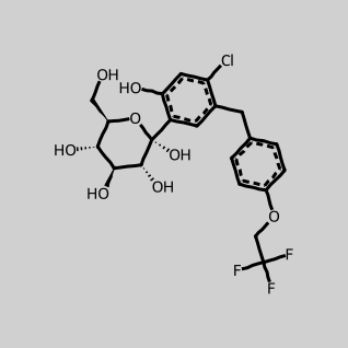 OC[C@H]1O[C@@](O)(c2cc(Cc3ccc(OCC(F)(F)F)cc3)c(Cl)cc2O)[C@H](O)[C@@H](O)[C@@H]1O